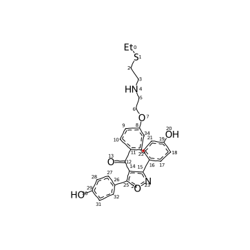 CCSCCNCCOc1ccc(C(=O)c2c(-c3ccc(O)cc3)noc2-c2ccc(O)cc2)cc1